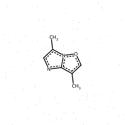 Cc1con2c(C)cnc12